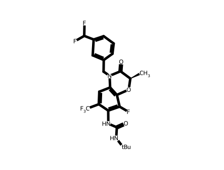 C[C@H]1Oc2c(cc(C(F)(F)F)c(NC(=O)NC(C)(C)C)c2F)N(Cc2cccc(C(F)F)c2)C1=O